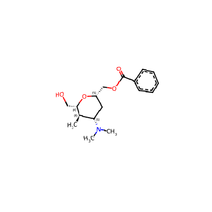 C[C@H]1[C@H](CO)O[C@H](COC(=O)c2ccccc2)C[C@@H]1N(C)C